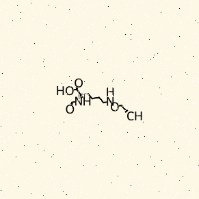 C#CCONCCCC[C@H](NC=O)C(=O)O